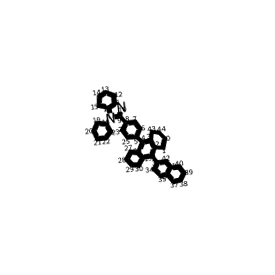 C1=Cc2c(c(-c3ccc(-c4nc5ccccc5n4-c4ccccc4)cc3)c3ccccc3c2-c2ccc3ccccc3c2)CC1